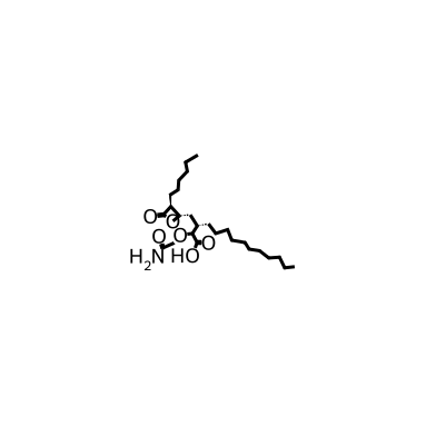 CCCCCCCCCCC[C@@H](C[C@@H]1OC(=O)[C@H]1CCCCCC)C(OCC(N)=O)C(=O)O